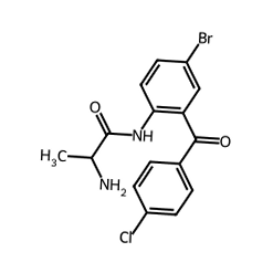 CC(N)C(=O)Nc1ccc(Br)cc1C(=O)c1ccc(Cl)cc1